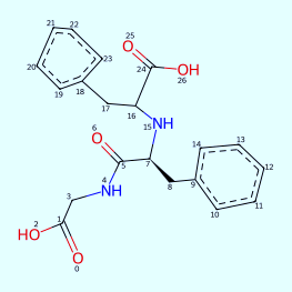 O=C(O)CNC(=O)[C@H](Cc1ccccc1)NC(Cc1ccccc1)C(=O)O